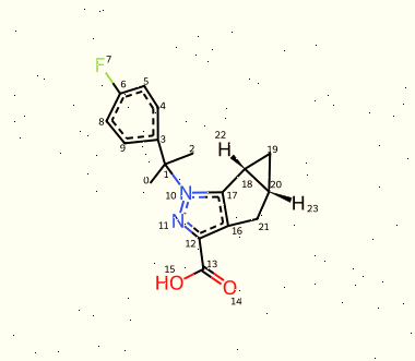 CC(C)(c1ccc(F)cc1)n1nc(C(=O)O)c2c1[C@@H]1C[C@@H]1C2